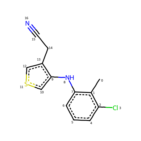 Cc1c(Cl)cccc1Nc1cscc1CC#N